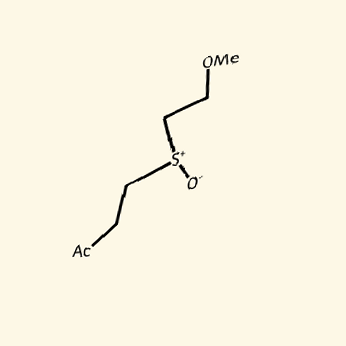 COCC[S+]([O-])CCC(C)=O